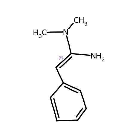 CN(C)/C(N)=C/c1ccccc1